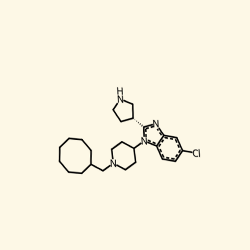 Clc1ccc2c(c1)nc([C@@H]1CCNC1)n2C1CCN(CC2CCCCCCC2)CC1